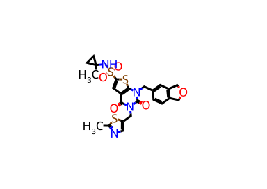 Cc1ncc(Cn2c(=O)c3cc(S(=O)(=O)NC4(C)CC4)sc3n(Cc3ccc4c(c3)COC4)c2=O)s1